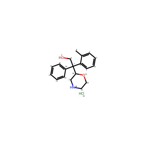 Cc1ccccc1C(CO)(c1ccccc1)C1CNCCO1.Cl